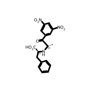 C[C@H](N[C@@H](Cc1ccccc1)C(=O)O)C(=O)c1cc([N+](=O)[O-])cc([N+](=O)[O-])c1